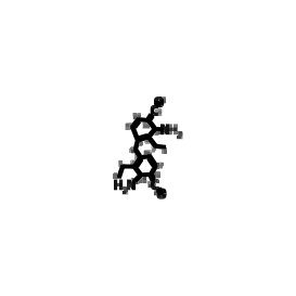 CCC1=C(CC2=C(CC)C(N)C(=C=O)C=C2)C=CC(=C=O)C1N